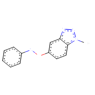 Cn1nnc2cc(ONc3ccccc3)ccc21